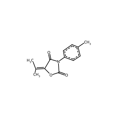 CC(C)=C1OC(=O)N(c2ccc(C)cc2)C1=O